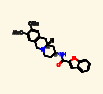 COc1cc2c(cc1OC)CN1CC[C@@H](NC(=O)c3cc4ccccc4o3)C[C@H]1C2